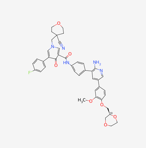 COc1cc(-c2cnc(N)c(-c3ccc(NC(=O)c4cn(CC5(C#N)CCOCC5)cc(-c5ccc(F)cc5)c4=O)cc3)c2)ccc1OC[C@@H]1COCCO1